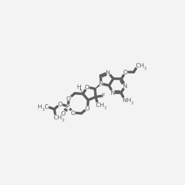 CCOC1=NC(N)=NC2C1N=CN2[C@@H]1O[C@@H]2COP(=O)(OC(C)C)OCOC2C1(C)F